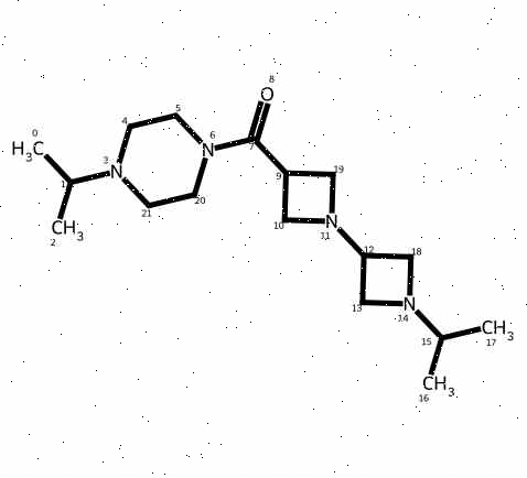 CC(C)N1CCN(C(=O)C2CN(C3CN(C(C)C)C3)C2)CC1